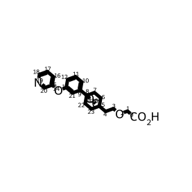 O=C(O)COCCC12CCC(c3cccc(Oc4cccnc4)c3)(CC1)OC2